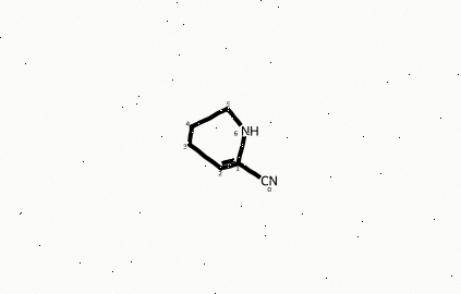 N#CC1=CCCCN1